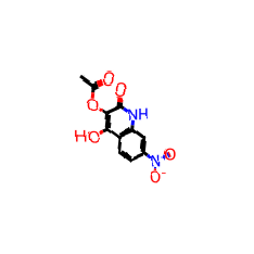 CC(=O)Oc1c(O)c2ccc([N+](=O)[O-])cc2[nH]c1=O